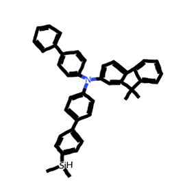 C[SiH](C)c1ccc(-c2ccc(N(c3ccc(-c4ccccc4)cc3)c3ccc4c(c3)C(C)(C)c3ccccc3-4)cc2)cc1